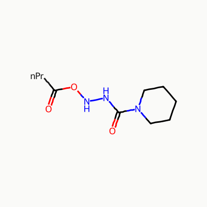 CCCC(=O)ONNC(=O)N1CCCCC1